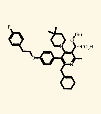 Cc1nc(CC2=CCCCC2)c(-c2ccc(OCCc3ccc(F)cc3)cc2)c(N2CCC(C)(C)CC2)c1[C@H](OC(C)(C)C)C(=O)O